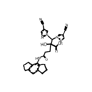 N#Cc1cnn(C(n2cc(C#N)cn2)C(O)(CCC(=O)Nc2c3c(cc4c2CCC4)CCC3)C(=O)O)c1